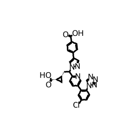 O=C(O)c1ccc(-c2cnn(C(C[C@@H]3C[C@@H]3C(=O)O)c3ccc(-c4cc(Cl)ccc4-n4cnnn4)cn3)c2)cc1